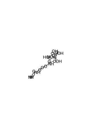 [N-]=[N+]=Nc1ccc(C(=O)NCCCOCCOCCOCCCNC(=O)CCc2ccc(O)c(CN(CCN(CC(=O)O)Cc3cc(CCC(=O)O)ccc3O)CC(=O)O)c2)cc1